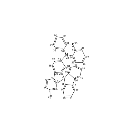 Fc1ccc2c(c1)C1(c3ccccc3-c3ccccc31)c1cc(N3c4ccccc4Sc4ccccc43)ccc1-2